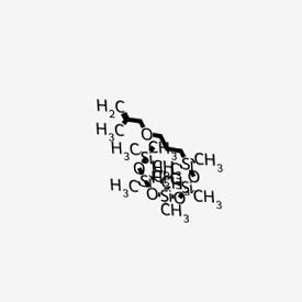 C=C(C)COCCC[Si](C)(C)O[Si](C)(C)O[Si](C)(C)O[Si](C)(C)O[Si](C)(C)C